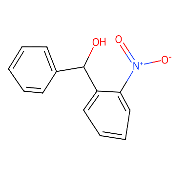 O=[N+]([O-])c1ccccc1C(O)c1ccccc1